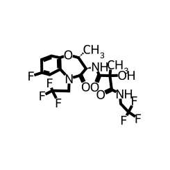 C[C@H]1Oc2ccc(F)cc2N(CC(F)(F)F)C(=O)[C@H]1NC(=O)C(C)(O)C(=O)NCC(F)(F)F